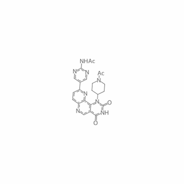 CC(=O)Nc1ncc(-c2ccc3ncc4c(=O)[nH]c(=O)n(C5CCN(C(C)=O)CC5)c4c3n2)cn1